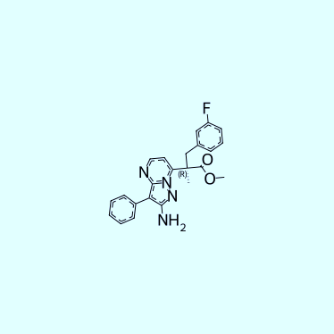 COC(=O)[C@](C)(Cc1cccc(F)c1)c1ccnc2c(-c3ccccc3)c(N)nn12